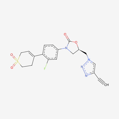 C#Cc1cn(C[C@H]2CN(c3ccc(C4=CCS(=O)(=O)CC4)c(F)c3)C(=O)O2)nn1